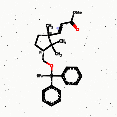 COC(=O)/C=C/[C@@]1(C)CC[C@@H](CO[Si](c2ccccc2)(c2ccccc2)C(C)(C)C)C1(C)C